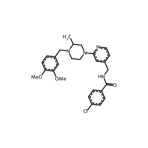 COc1ccc(CN2CCN(c3cc(CNC(=O)c4ccc(Cl)cc4)ccn3)CC2C)cc1OC